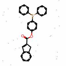 O=C(Oc1ccc([S+](c2ccccc2)c2ccccc2)cc1)C1=Cc2ccccc2C1